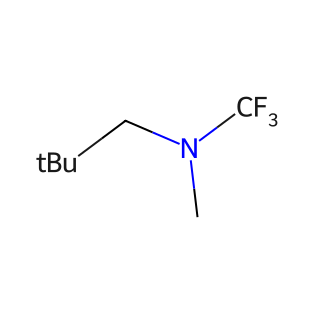 CN(CC(C)(C)C)C(F)(F)F